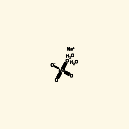 O.O.[Na+].[O]=[Mn](=[O])(=[O])[O-]